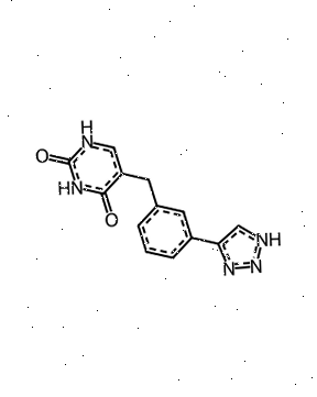 O=c1[nH]cc(Cc2cccc(-c3c[nH]nn3)c2)c(=O)[nH]1